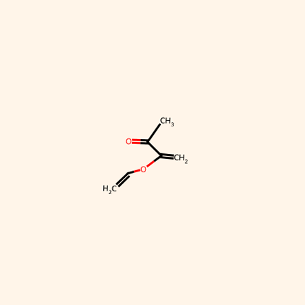 C=COC(=C)C(C)=O